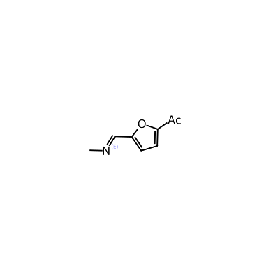 C/N=C/c1ccc(C(C)=O)o1